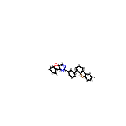 c1cc(-c2ncc3oc4ccccc4c3n2)cc(-c2cccc3c2sc2ccccc23)c1